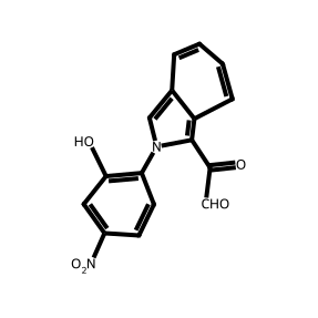 O=CC(=O)c1c2ccccc2cn1-c1ccc([N+](=O)[O-])cc1O